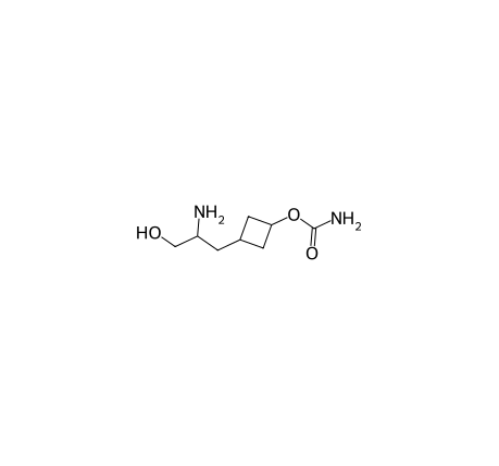 NC(=O)OC1CC(CC(N)CO)C1